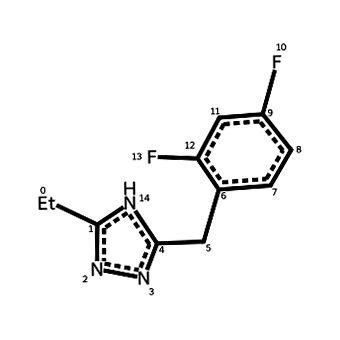 CCc1nnc(Cc2ccc(F)cc2F)[nH]1